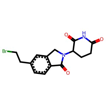 O=C1CCC(N2Cc3cc(CCBr)ccc3C2=O)C(=O)N1